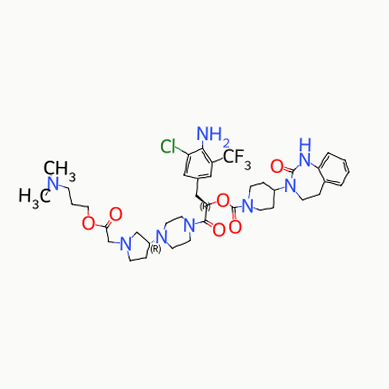 CN(C)CCCOC(=O)CN1CC[C@@H](N2CCN(C(=O)[C@@H](Cc3cc(Cl)c(N)c(C(F)(F)F)c3)OC(=O)N3CCC(N4CCc5ccccc5NC4=O)CC3)CC2)C1